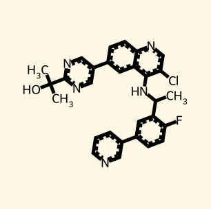 CC(Nc1c(Cl)cnc2ccc(-c3cnc(C(C)(C)O)nc3)cc12)c1cc(-c2cccnc2)ccc1F